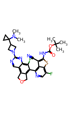 CN(C)C1(C2CN(c3ncc4c5c(c(-c6ncc(F)c7sc(NC(=O)OC(C)(C)C)c(C#N)c67)c(F)c4n3)COC5)C2)CC1